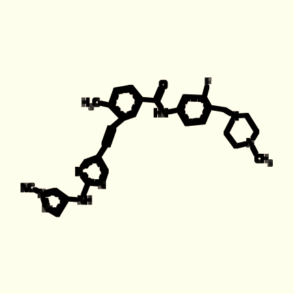 Cc1ccc(C(=O)Nc2ccc(CN3CCN(C)CC3)c(F)c2)cc1C#Cc1cnc(Nc2cnn(C#N)c2)nc1